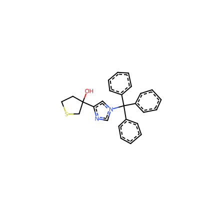 OC1(c2cn(C(c3ccccc3)(c3ccccc3)c3ccccc3)cn2)CCSC1